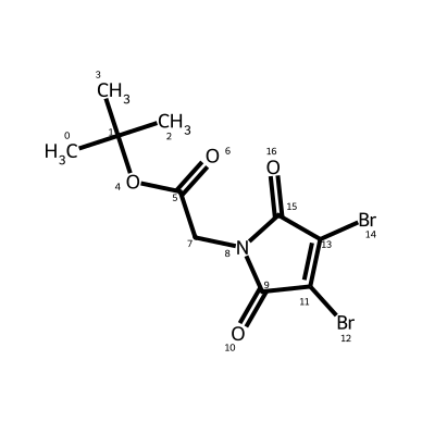 CC(C)(C)OC(=O)CN1C(=O)C(Br)=C(Br)C1=O